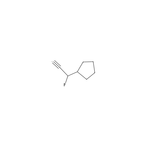 [C]#CC(F)C1CCCC1